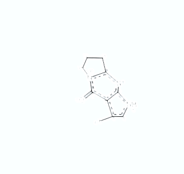 O=c1c2c(I)c[nH]c2nc2n1CCC2